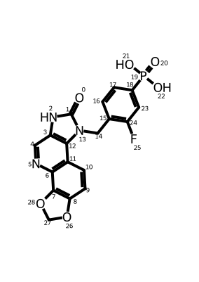 O=c1[nH]c2cnc3c4c(ccc3c2n1Cc1ccc(P(=O)(O)O)cc1F)OCO4